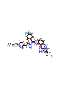 COc1ccc(CC(=O)N[C@H](c2nc3cc(CN4C[C@@H](C(F)(F)F)NC4=O)ccc3o2)C2CCC(F)(F)CC2)cn1